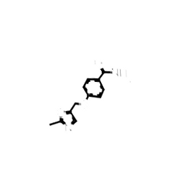 Cc1ncc(COc2ccc(C(N)=O)cc2)o1